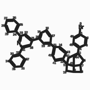 Brc1ccc(C23CC4CC5CC(c6ccc(-c7cccc(-c8cc(-c9ccccc9)nc(-c9ccccc9)c8)c7)cc6)(C2)C45C3)cc1